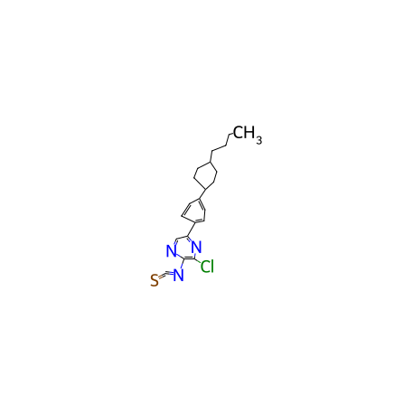 CCCCC1CCC(c2ccc(-c3cnc(N=C=S)c(Cl)n3)cc2)CC1